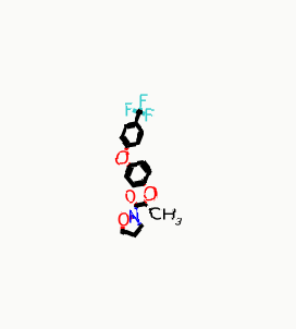 CC(Oc1ccc(Oc2ccc(C(F)(F)F)cc2)cc1)C(=O)N1CCCO1